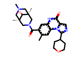 Cc1cc2c(cc1C(=O)N1C[C@]3(C)CN(C)C[C@](C)(C1)C3O)[nH]c(=O)c1cnc(C3CCOCC3)n12